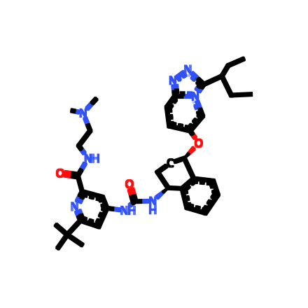 CCC(CC)c1nnc2ccc(O[C@@H]3CC[C@H](NC(=O)Nc4cc(C(=O)NCCN(C)C)nc(C(C)(C)C)c4)c4ccccc43)cn12